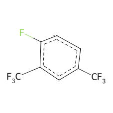 Fc1[c]cc(C(F)(F)F)cc1C(F)(F)F